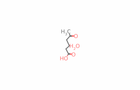 CC(=O)CCCC(=O)O.O